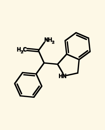 C=C(N)C(c1ccccc1)C1NCc2ccccc21